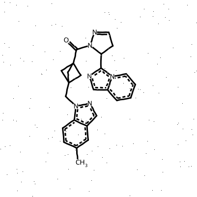 Cc1ccc2c(cnn2CC23CC(C(=O)N4N=CCC4c4ncc5ccccn45)(C2)C3)c1